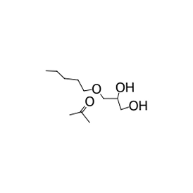 CC(C)=O.CCCCCOCC(O)CO